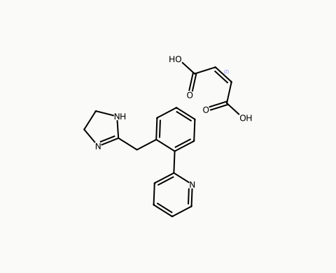 O=C(O)/C=C\C(=O)O.c1ccc(-c2ccccc2CC2=NCCN2)nc1